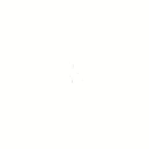 O=[SH](=O)C(F)(F)F.[Pd]